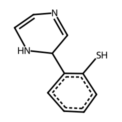 Sc1ccccc1C1C=NC=CN1